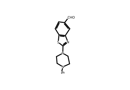 CC(C)N1CCN(c2nc3cc(C=O)ccc3s2)CC1